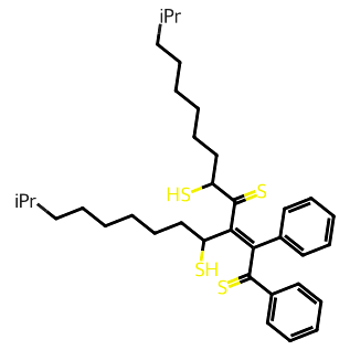 CC(C)CCCCCCC(S)C(=S)C(=C(C(=S)c1ccccc1)c1ccccc1)C(S)CCCCCCC(C)C